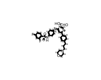 O=CO.O=S(=O)(Nc1ccc(Nc2cc(-c3ccc(CCCN4CCOCC4)cc3)ncn2)cc1)c1ccc(F)cc1F